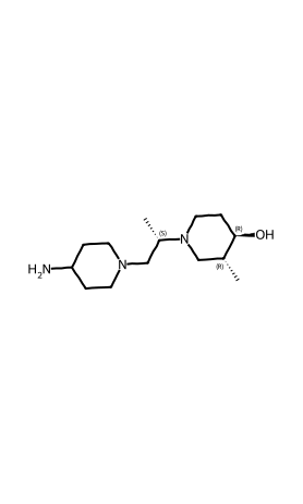 C[C@@H]1CN([C@@H](C)CN2CCC(N)CC2)CC[C@H]1O